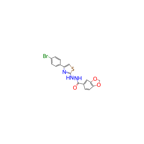 O=C(NNc1nc(-c2ccc(Br)cc2)cs1)c1ccc2c(c1)OCO2